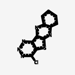 Clc1nnnc2c1sc1nc3ccccc3nc12